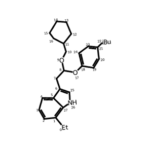 CCc1cccc2c(CC(OCC3CCCCC3)Oc3ccc(C(C)CC)cc3)c[nH]c12